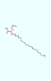 CCCCCCCCCCCCCCCCCOC(OCC)C(=O)O